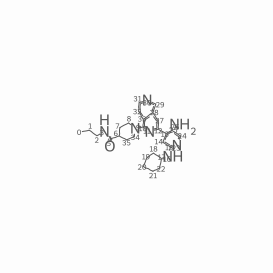 CCCNC(=O)C1CCN(c2nc(-c3cc(NC4CCCCC4)ncc3N)cc3cnccc23)CC1